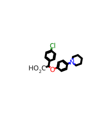 O=C(O)C(Oc1ccc(N2CCCCC2)cc1)c1ccc(Cl)cc1